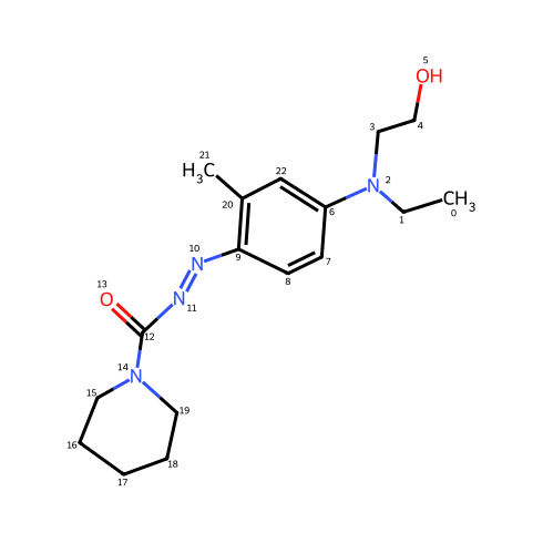 CCN(CCO)c1ccc(N=NC(=O)N2CCCCC2)c(C)c1